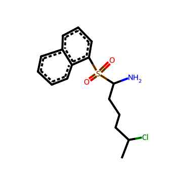 CC(Cl)CCCC(N)S(=O)(=O)c1cccc2ccccc12